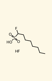 CCCCCCCC(F)S(=O)(=O)O.F